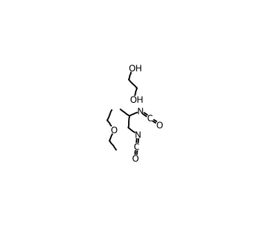 CC(CN=C=O)N=C=O.CCOCC.OCCO